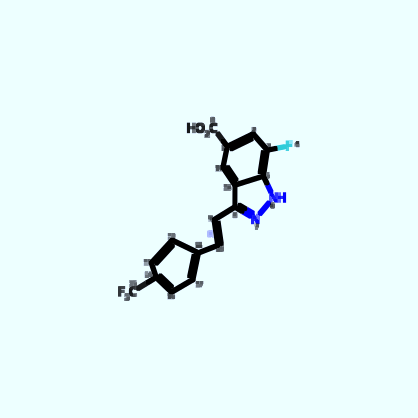 O=C(O)c1cc(F)c2[nH]nc(/C=C/c3ccc(C(F)(F)F)cc3)c2c1